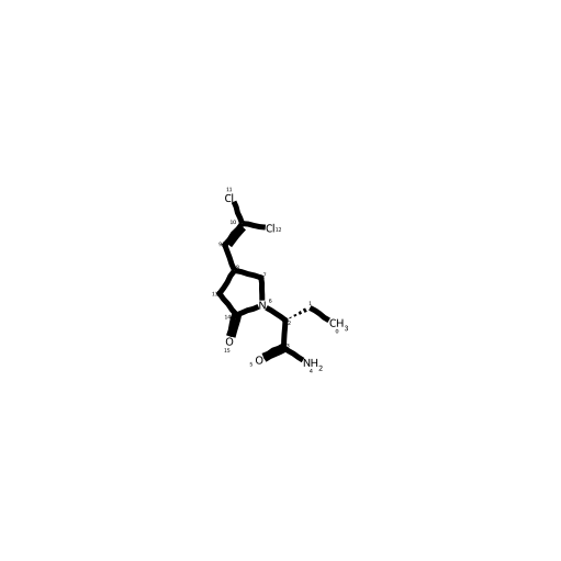 CC[C@H](C(N)=O)N1CC(C=C(Cl)Cl)CC1=O